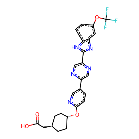 O=C(O)C[C@H]1CC[C@H](Oc2ccc(-c3cnc(-c4nc5cc(OC(F)(F)F)ccc5[nH]4)cn3)cn2)CC1